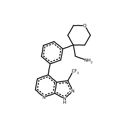 NCC1(c2cccc(-c3ccnc4[nH]nc(C(F)(F)F)c34)c2)CCOCC1